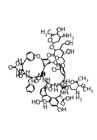 COC1C(N)CC(O[C@@H]2c3ccc(c(Cl)c3)Oc3cc4cc(c3O[C@@H]3OC(CO)[C@@H](O)C(CO)C3OC3CC(N)C(O)[C@H](C)O3)Oc3ccc(cc3)[C@H]3OC(=O)N[C@H]3C(=O)N[C@@H](Cc3ccccc3)C(=O)N[C@@H]4C(=O)N[C@@H]3C(=O)N[C@@H]2C(=O)N[C@H](C(=O)O)c2cc(O)cc(O)c2-c2cc3ccc2CO)O[C@H]1C